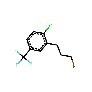 FC(F)(F)c1ccc(Cl)c(CCCBr)c1